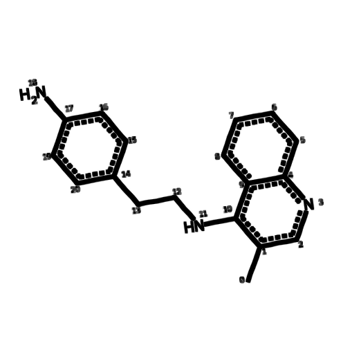 Cc1cnc2ccccc2c1NCCc1ccc(N)cc1